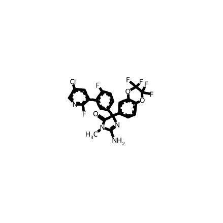 CN1C(=O)C(c2ccc3c(c2)OC(F)(F)C(F)(F)O3)(c2ccc(F)c(-c3cc(Cl)cnc3F)c2)N=C1N